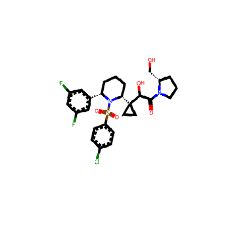 O=C(C(O)C1([C@H]2CCC[C@@H](c3cc(F)cc(F)c3)N2S(=O)(=O)c2ccc(Cl)cc2)CC1)N1CCC[C@H]1CO